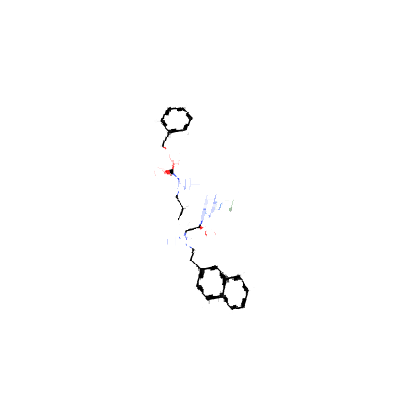 Cl.NC(=O)[C@@H](CCCNC(=O)OCc1ccccc1)NCCc1ccc2ccccc2c1